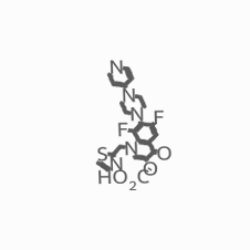 O=C(O)Oc1cn(Cc2nccs2)c2c(F)c(N3CCN(c4ccncc4)CC3)c(F)cc2c1=O